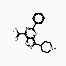 NC(=O)c1nc(-c2ccccc2)nc2c(C3CCNCC3)n[nH]c12